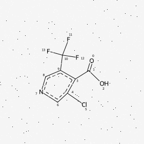 O=C(O)c1c(Cl)cncc1C(F)(F)F